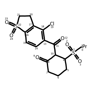 CC(C)S(=O)(=O)C1CCCC(=O)C1C(=O)c1ccc2c(c1Cl)CCS2(=O)=O